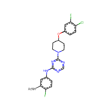 CC(=O)Nc1cc(Nc2ncnc(N3CCC(Oc4ccc(Cl)c(F)c4)CC3)n2)ccc1F